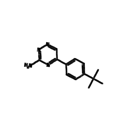 CC(C)(C)c1ccc(-c2cnnc(N)n2)cc1